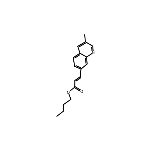 CCCCOC(=O)/C=C/c1ccc2cc(C)cnc2c1